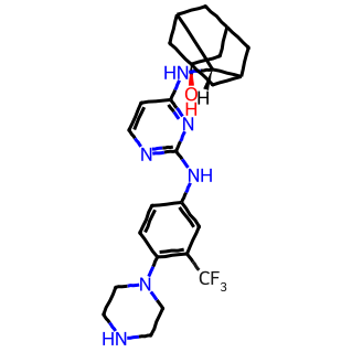 O[C@]12CC3CC(C1)[C@@H](Nc1ccnc(Nc4ccc(N5CCNCC5)c(C(F)(F)F)c4)n1)C(C3)C2